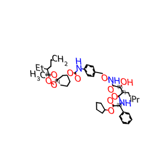 C=CCC(CC)[C@@]1(C)OO[C@@]2(CCCC(OC(=O)Nc3ccc(CONC(=O)[C@@H](O)[C@@H](CC(C)C)C(=O)N[C@H](C(=O)OC4CCCC4)c4ccccc4)cc3)C2)O1